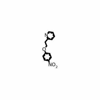 O=[N+]([O-])c1ccc(OCCc2ccccn2)cc1